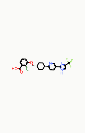 O=C(O)c1cccc(OC[C@H]2CC[C@H](c3ccc(-c4nc(C(F)(F)F)c[nH]4)cn3)CC2)c1Cl